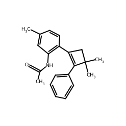 CC(=O)Nc1cc(C)ccc1C1=C(c2ccccc2)C(C)(C)C1